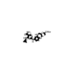 COC(C)O[C@H]1CNc2cc(Nc3ncc(C(N)=O)c(NC4CC4)n3)ccc2OC1